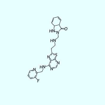 O=C1C2C=CC=CC2NN1CNCCc1nc2c(NCc3ncccc3F)ncnc2s1